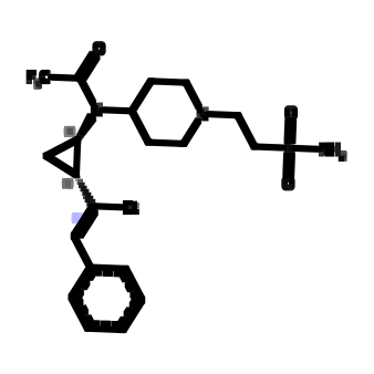 CC/C(=C\c1ccccc1)[C@@H]1C[C@H]1N(C(=O)C(F)(F)F)C1CCN(CCS(N)(=O)=O)CC1